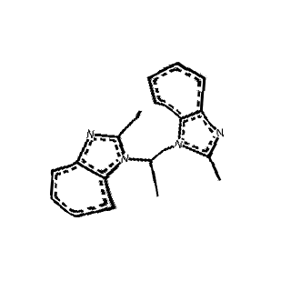 Cc1nc2ccccc2n1C(C)n1c(C)nc2ccccc21